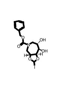 O=C(OCc1ccccc1)N1C[C@H](O)[C@@H](O)[C@H]2OC(I)O[C@@H]2C1